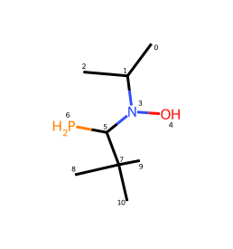 CC(C)N(O)C(P)C(C)(C)C